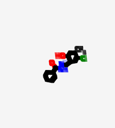 O=C(N/N=C/c1cc(Cl)c(C(F)(F)F)cc1O)c1ccccc1